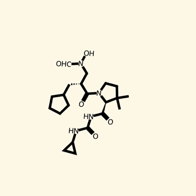 CC1(C)CCN(C(=O)[C@H](CC2CCCC2)CN(O)C=O)[C@@H]1C(=O)NC(=O)NC1CC1